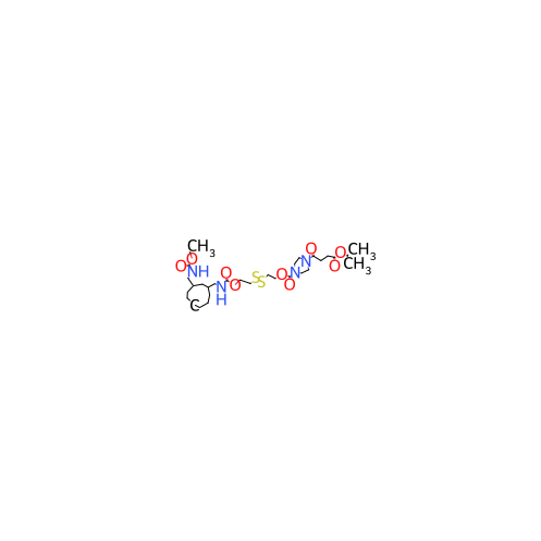 CCOC(=O)NCC1CCCCCCC(CNC(=O)OCCSSCCOC(=O)N2CCN(C(=O)CCC(=O)OC(C)C)CC2)C1